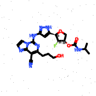 CC(C)NC(=O)O[C@H]1CO[C@@H](c2cc(Nc3nc(CCCO)c(C#N)c4nccn34)n[nH]2)[C@H]1F